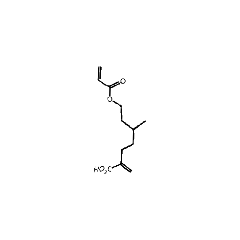 C=CC(=O)OCCC(C)CCC(=C)C(=O)O